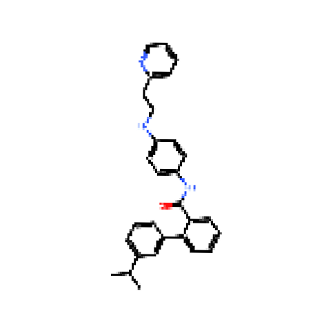 CC(C)c1cccc(-c2ccccc2C(=O)Nc2ccc(NCCc3ccccn3)cc2)c1